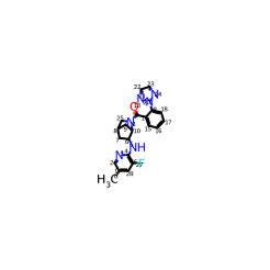 Cc1cnc(NC2CC3CC2N(C(=O)c2ccccc2-n2nccn2)C3)c(F)c1